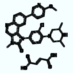 COc1ccc(-c2ccc3ncc4c(c3c2)n(-c2ccc(N3CC(C)NC(C)C3)c(Cl)c2)c(=O)n4C)cn1.O=C(O)C=CC(=O)O